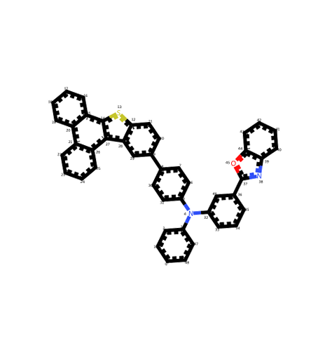 c1ccc(N(c2ccc(-c3ccc4sc5c6ccccc6c6ccccc6c5c4c3)cc2)c2cccc(-c3nc4ccccc4o3)c2)cc1